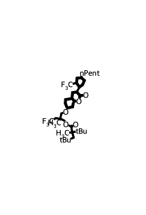 CCCCCc1ccc(-c2cc3ccc(OCC(C)(COC(=O)C(C)(CC(C)(C)C)C(C)(C)C)CC(F)(F)F)cc3oc2=O)c(C(F)(F)F)c1